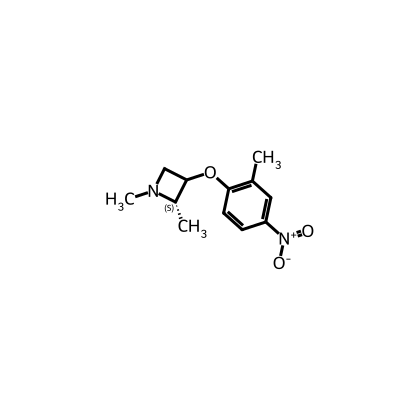 Cc1cc([N+](=O)[O-])ccc1OC1CN(C)[C@H]1C